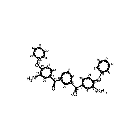 Nc1cc(C(=O)c2cccc(C(=O)c3ccc(Oc4ccccc4)c(N)c3)c2)ccc1Oc1ccccc1